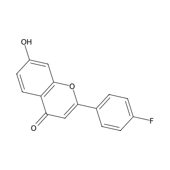 O=c1cc(-c2ccc(F)cc2)oc2cc(O)ccc12